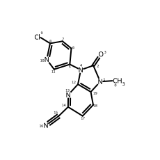 Cn1c(=O)n(-c2ccc(Cl)nc2)c2nc(C#N)ccc21